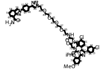 COc1ccc(C2=N[C@H](c3ccc(Cl)cc3)[C@H](c3ccc(Cl)cc3)N2C(=O)N2CCN(CC(=O)NCCOCCOCCOCCOCCn3cc(-c4ccc(-n5cc6cccc(C(N)=O)c6n5)cc4)nn3)C(=O)C2)c(OC(C)C)c1